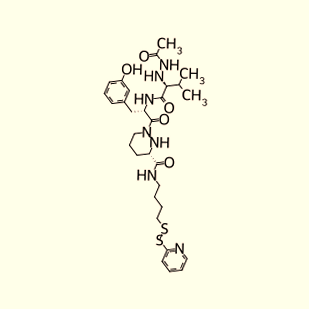 CC(=O)NN[C@H](C(=O)N[C@@H](Cc1cccc(O)c1)C(=O)N1CCC[C@@H](C(=O)NCCCCSSc2ccccn2)N1)C(C)C